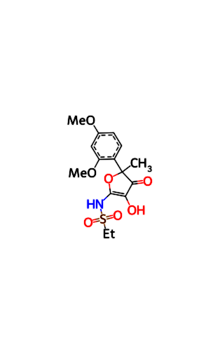 CCS(=O)(=O)NC1=C(O)C(=O)C(C)(c2ccc(OC)cc2OC)O1